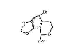 CCCC1OCCc2c(Br)cc3c(c21)OCO3